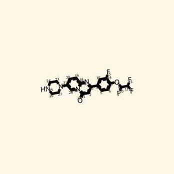 O=c1cc(-c2ccc(OC(F)C(F)F)c(F)c2)nc2ccc(N3CCNCC3)cn12